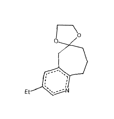 CCc1cnc2c(c1)CC1(CCC2)OCCO1